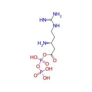 N=C(N)NCC[C@H](N)CC(=O)OP(=O)(O)OP(=O)(O)O